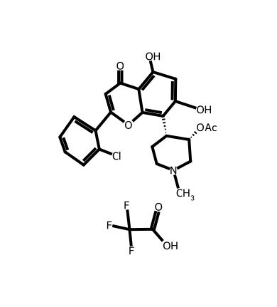 CC(=O)O[C@@H]1CN(C)CC[C@@H]1c1c(O)cc(O)c2c(=O)cc(-c3ccccc3Cl)oc12.O=C(O)C(F)(F)F